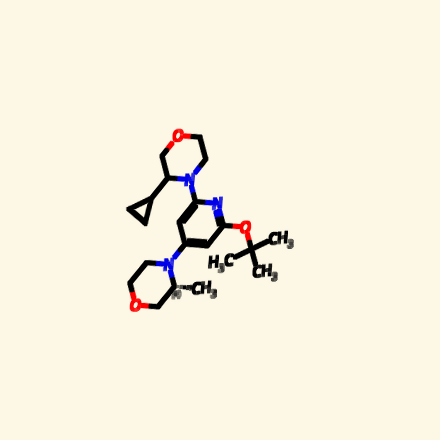 C[C@@H]1COCCN1c1cc(OC(C)(C)C)nc(N2CCOCC2C2CC2)c1